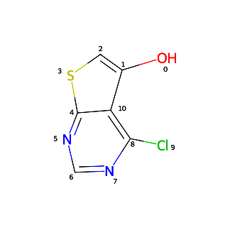 Oc1csc2ncnc(Cl)c12